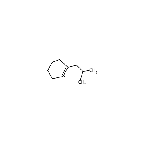 CC(C)CC1=[C]CCCC1